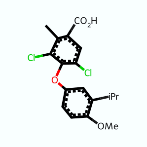 COc1ccc(Oc2c(Cl)cc(C(=O)O)c(C)c2Cl)cc1C(C)C